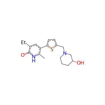 CCc1cc(-c2ccc(CN3CCCC(O)C3)s2)c(C)[nH]c1=O